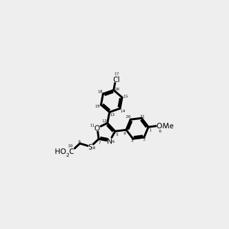 COc1ccc(-c2nc(SCC(=O)O)oc2-c2ccc(Cl)cc2)cc1